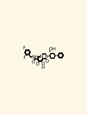 O=C(NCc1ccc(F)cc1F)c1cn2c(c(O)c1=O)C(=O)N([C@H]1CC[C@H](c3ccccc3)C[C@H]1CO)CC2